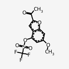 COc1cc(OS(=O)(=O)C(F)(F)F)c2cc(C(C)=O)oc2c1